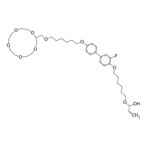 C=CC(O)OCCCCCCOc1ccc(-c2ccc(OCCCCCCOCC3COCCOCCOCCOCCO3)cc2)cc1F